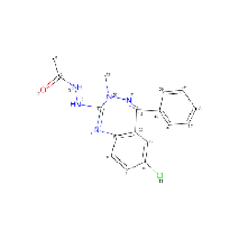 CC(=O)NNC1=Nc2ccc(Cl)cc2C(c2ccccc2)=NN1C